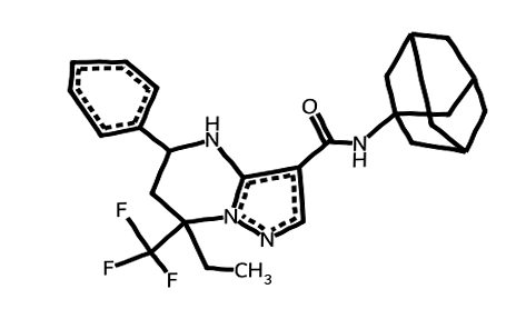 CCC1(C(F)(F)F)CC(c2ccccc2)Nc2c(C(=O)NC34CC5CC(CC(C5)C3)C4)cnn21